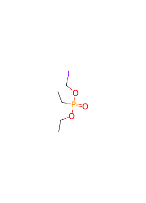 CCOP(=O)(CC)OCI